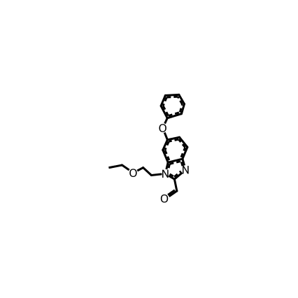 CCOCCn1c(C=O)nc2ccc(Oc3ccccc3)cc21